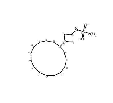 CS(=O)(=O)OC1CN(C2CCCCCCCCCCCCCC2)C1